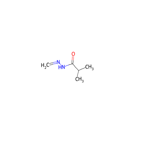 C=NNC(=O)C(C)C